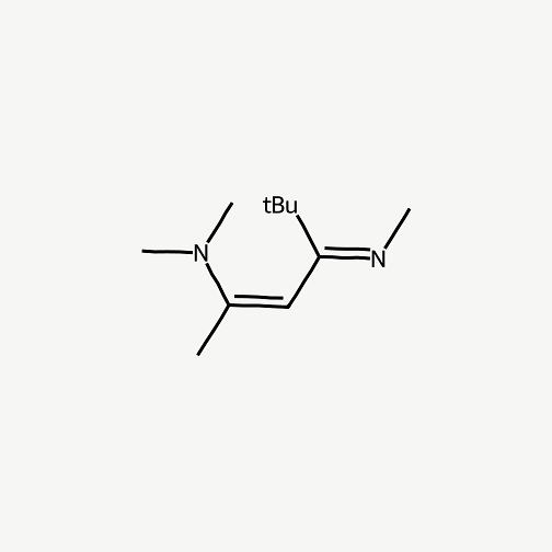 C/N=C(/C=C(/C)N(C)C)C(C)(C)C